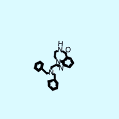 O=C1NCCn2c(CN(Cc3ccccc3)Cc3ccccc3)nc3cccc1c32